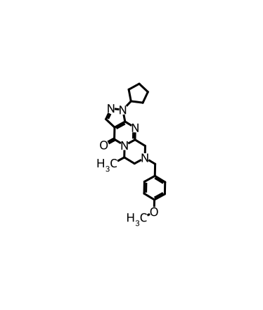 COc1ccc(CN2Cc3nc4c(cnn4C4CCCC4)c(=O)n3C(C)C2)cc1